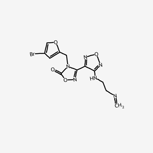 C=NCCNc1nonc1-c1noc(=O)n1Cc1cc(Br)co1